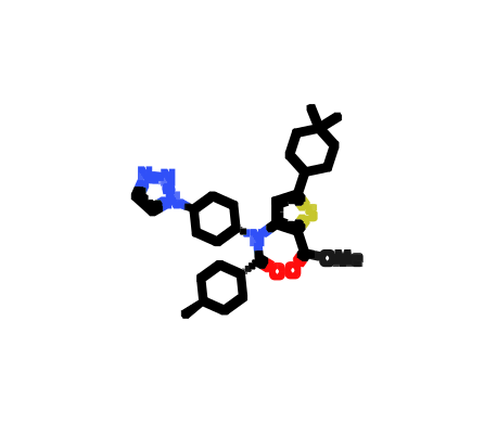 COC(=O)c1sc(C2CCC(C)(C)CC2)cc1N(C(=O)[C@H]1CC[C@H](C)CC1)[C@H]1CC[C@H](n2ccnn2)CC1